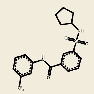 O=C(Nc1cccc(C(F)(F)F)c1)c1cccc(S(=O)(=O)NC2CCCC2)c1